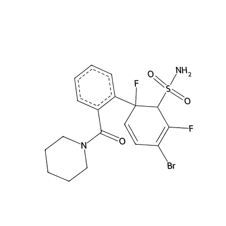 NS(=O)(=O)C1C(F)=C(Br)C=CC1(F)c1ccccc1C(=O)N1CCCCC1